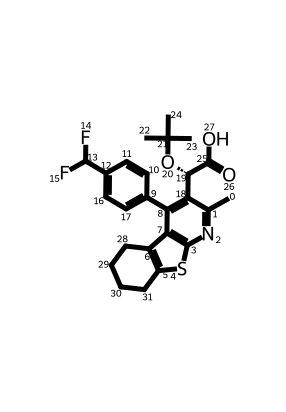 Cc1nc2sc3c(c2c(-c2ccc(C(F)F)cc2)c1[C@H](OC(C)(C)C)C(=O)O)CCCC3